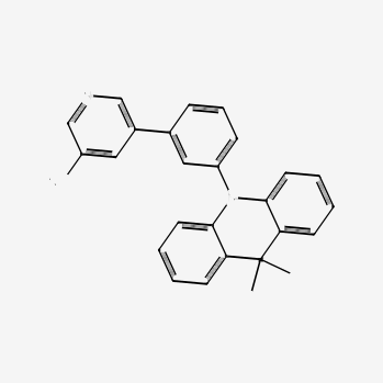 CC1(C)c2ccccc2N(c2cccc(-c3cncc(C#N)c3)c2)c2ccccc21